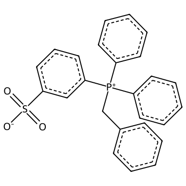 O=S(=O)([O-])c1cccc([P+](Cc2ccccc2)(c2ccccc2)c2ccccc2)c1